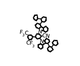 N#Cc1c(-n2c3ccccc3c3c(-c4ccccc4-c4ccccc4)cccc32)cc(-c2cc(C(F)(F)F)cc(C(F)(F)F)c2)cc1-n1c2ccccc2c2c(-c3ccccc3-c3ccccc3)cccc21